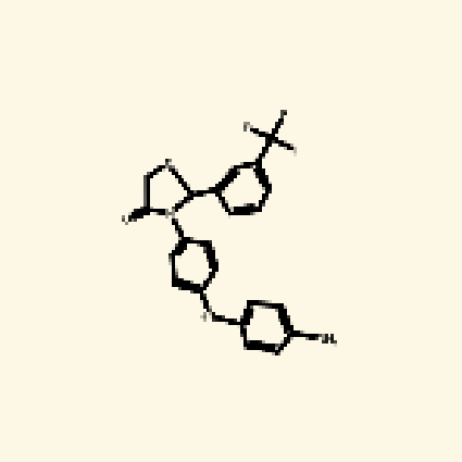 Nc1ccc(Nc2ccc(N3C(=O)CSC3c3cccc(C(F)(F)F)c3)cc2)cc1